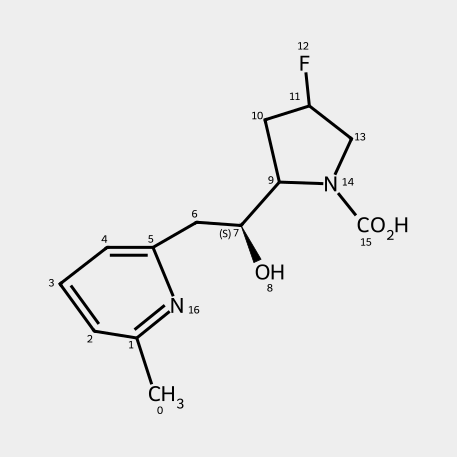 Cc1cccc(C[C@H](O)C2CC(F)CN2C(=O)O)n1